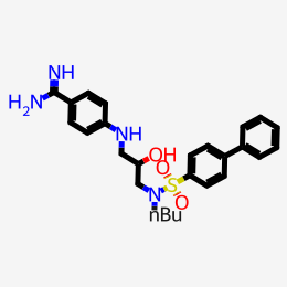 CCCCN(CC(O)CNc1ccc(C(=N)N)cc1)S(=O)(=O)c1ccc(-c2ccccc2)cc1